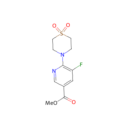 COC(=O)c1cnc(N2CCS(=O)(=O)CC2)c(F)c1